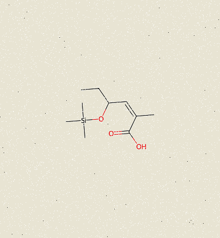 CCC(C=C(C)C(=O)O)O[Si](C)(C)C